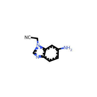 N#CCn1cnc2ccc(N)cc21